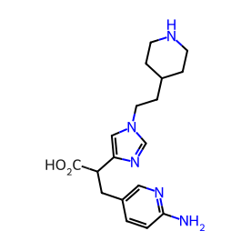 Nc1ccc(CC(C(=O)O)c2cn(CCC3CCNCC3)cn2)cn1